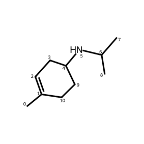 CC1=CCC(NC(C)C)CC1